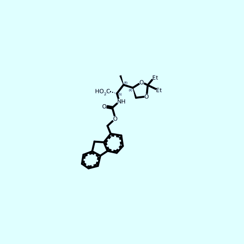 CCC1(CC)OC[C@@H]([C@H](C)[C@H](NC(=O)OCc2cccc3c2Cc2ccccc2-3)C(=O)O)O1